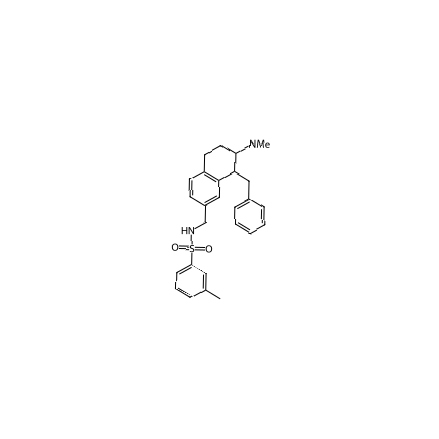 CNC1CCc2ccc(CNS(=O)(=O)c3cccc(C)c3)cc2C1Cc1ccccc1